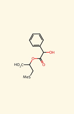 CSCC(OC(=O)C(O)c1ccccc1)C(=O)O